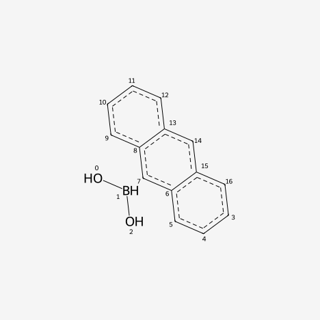 OBO.c1ccc2cc3ccccc3cc2c1